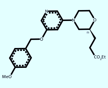 CCOC(=O)CC[C@H]1CN(c2cncc(OCc3ccc(OC)cc3)c2)CCO1